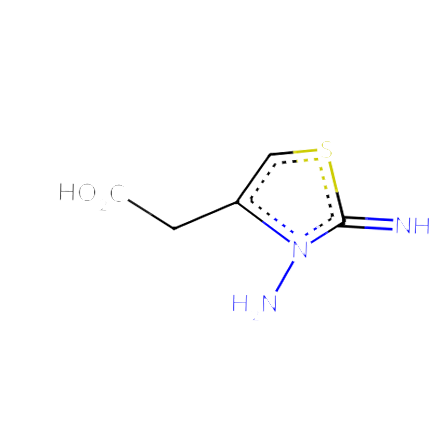 N=c1scc(CC(=O)O)n1N